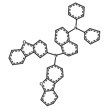 c1ccc(N(c2ccccc2)c2cccc3c(N(c4ccc5c(c4)oc4ccccc45)c4ccc5oc6ccccc6c5c4)cccc23)cc1